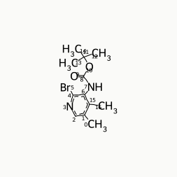 Cc1cnc(Br)c(NC(=O)OC(C)(C)C)c1C